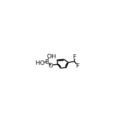 OB(O)Oc1ccc(C(F)F)cc1